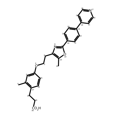 Cc1cc(OCCc2nc(-c3ccc(-c4ccncc4)cc3)oc2C)ccc1CCC(=O)O